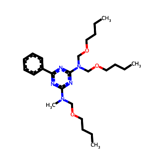 CCCCOCN(C)c1nc(-c2ccccc2)nc(N(COCCCC)COCCCC)n1